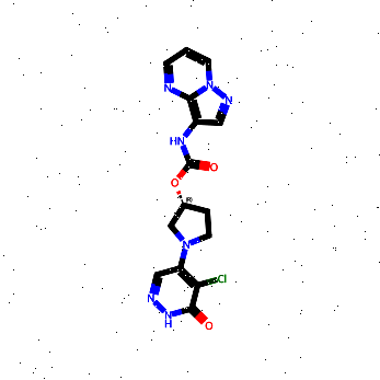 O=C(Nc1cnn2cccnc12)O[C@@H]1CCN(c2cn[nH]c(=O)c2Cl)C1